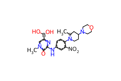 C[C@H]1CC(N2CCOCC2)CCN1c1ccc(Nc2nc(B(O)O)cn(C)c2=O)cc1[N+](=O)[O-]